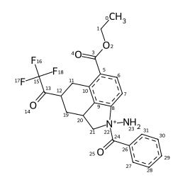 CCOC(=O)c1ccc2c3c1CC(C(=O)C(F)(F)F)CC3C[N+]2(N)C(=O)c1ccccc1